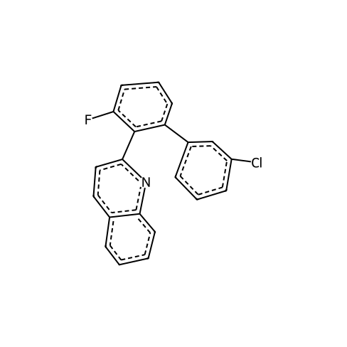 Fc1cccc(-c2cccc(Cl)c2)c1-c1ccc2ccccc2n1